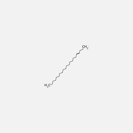 [CH2]CCC=CCCCCCCCCCCCCCCC[CH2]